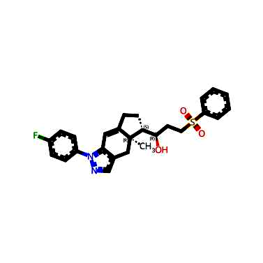 C[C@]12Cc3cnn(-c4ccc(F)cc4)c3C=C1CC[C@@H]2[C@H](O)CCS(=O)(=O)c1ccccc1